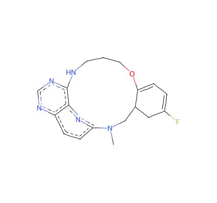 CN1CC2CC(F)=CC=C2OCCCNc2ncnc3ccc1nc23